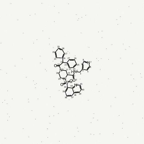 O=C(NCc1ccncc1)C1CN(C(=O)C(c2ccccc2)c2ccccc2)CCN1S(=O)(=O)c1cccc2cccnc12